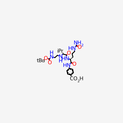 CC(C)[C@H](NCCNC(=O)OC(C)(C)C)C(=O)N[C@@H](CCCNC(N)=O)C(=O)Nc1ccc(C(=O)O)cc1